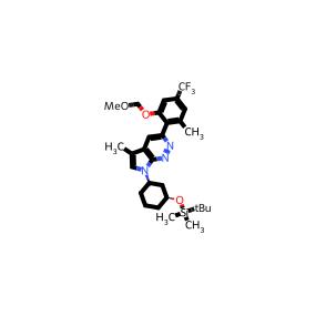 COCOc1cc(C(F)(F)F)cc(C)c1-c1cc2c(C)cn([C@@H]3CCC[C@@H](O[Si](C)(C)C(C)(C)C)C3)c2nn1